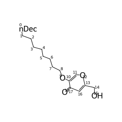 CCCCCCCCCCCCCCCCCCOc1coc(CO)cc1=O